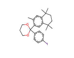 Cc1cc2c(cc1C1(c3ccc(I)cc3)OCCCO1)C(C)(C)CCC2(C)C